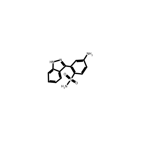 Nc1ccc(S(N)(=O)=O)c(-c2n[nH]c3ccccc23)c1